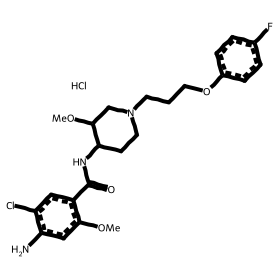 COc1cc(N)c(Cl)cc1C(=O)NC1CCN(CCCOc2ccc(F)cc2)CC1OC.Cl